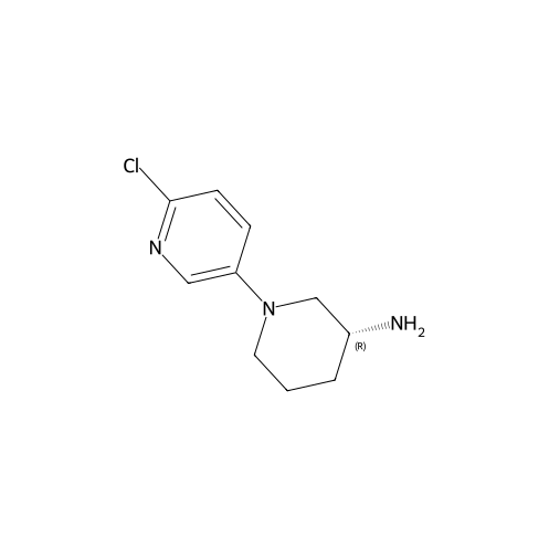 N[C@@H]1CCCN(c2ccc(Cl)nc2)C1